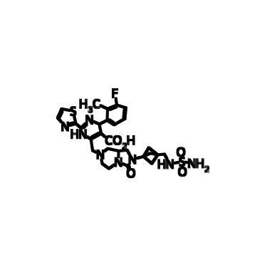 Cc1c(F)cccc1C1N=C(c2nccs2)NC(CN2CCN3C(=O)N(C45CC(CNS(N)(=O)=O)(C4)C5)CC3C2)=C1C(=O)O